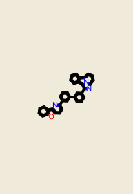 c1cc(-c2cccc(-c3nc4cccc5c6ccccc6c3n45)c2)cc(-c2ccc3oc4ccccc4c3n2)c1